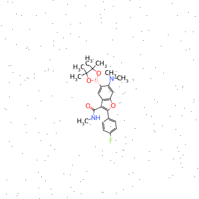 CNC(=O)c1c(-c2ccc(F)cc2)oc2cc(N(C)C)c(B3OC(C)(C)C(C)(C)O3)cc12